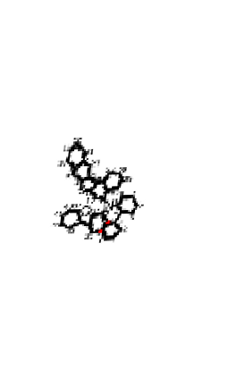 c1ccc(-c2ccccc2N(c2cc3sc4cc5ccccc5cc4c3c3ccccc23)c2cccc3c2oc2ccccc23)cc1